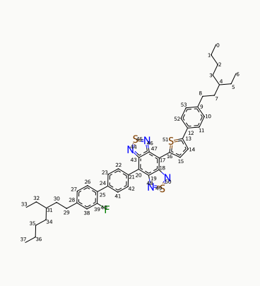 CCCCC(CC)CCc1ccc(-c2ccc(-c3c4c(c(-c5ccc(-c6ccc(CCC(CC)CCCC)cc6F)cc5)c5nsnc35)N=S=N4)s2)cc1